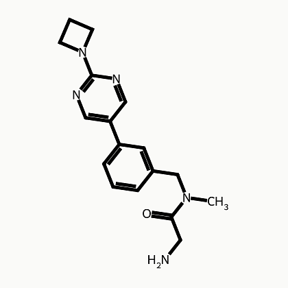 CN(Cc1cccc(-c2cnc(N3CCC3)nc2)c1)C(=O)CN